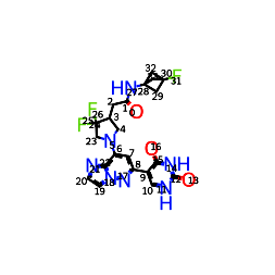 O=C(CC1CN(c2cc(-c3c[nH]c(=O)[nH]c3=O)nn3ccnc23)CC1(F)F)NC12CC(F)(C1)C2